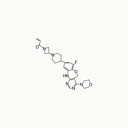 C=CC(=O)N1CC(N2CCC(c3cc(F)c4c(c3)Nc3ncnc(N5CCOCC5)c3CO4)CC2)C1